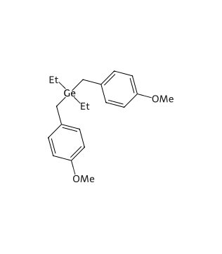 C[CH2][Ge]([CH2]C)([CH2]c1ccc(OC)cc1)[CH2]c1ccc(OC)cc1